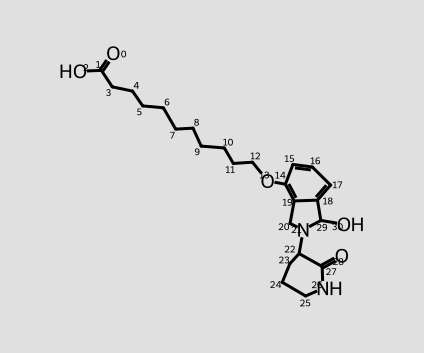 O=C(O)CCCCCCCCCCOc1cccc2c1CN(C1CCCNC1=O)C2O